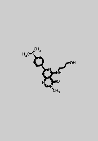 CN(C)c1ccc(-c2cc3ncn(C)c(=O)c3c(NCCCO)n2)cc1